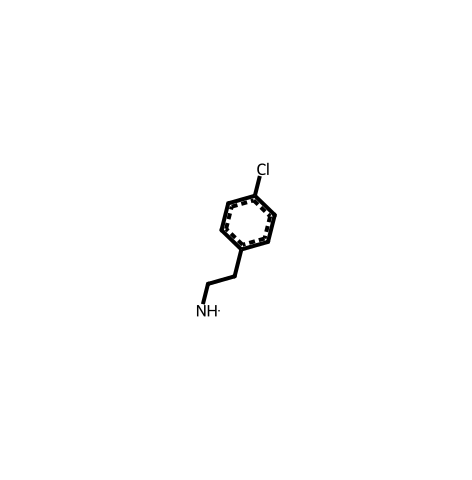 [NH]CCc1ccc(Cl)cc1